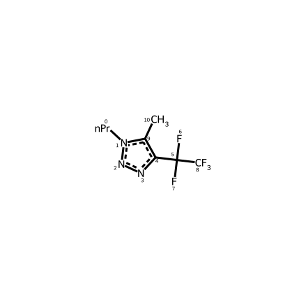 CCCn1nnc(C(F)(F)C(F)(F)F)c1C